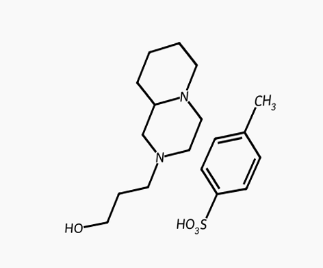 Cc1ccc(S(=O)(=O)O)cc1.OCCCN1CCN2CCCCC2C1